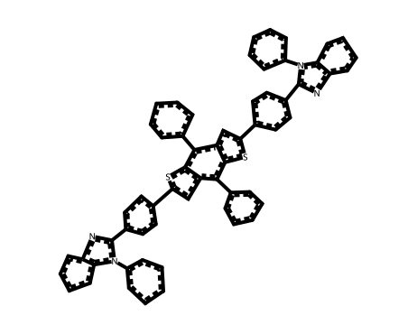 c1ccc(-c2c3cc(-c4ccc(-c5nc6ccccc6n5-c5ccccc5)cc4)sc3c(-c3ccccc3)c3cc(-c4ccc(-c5nc6ccccc6n5-c5ccccc5)cc4)sc23)cc1